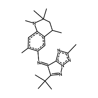 Cc1nc2n(n1)N=C(C(C)(C)C)/C2=N/c1cc2c(cc1C)N(C)C(C)(C)CC2C